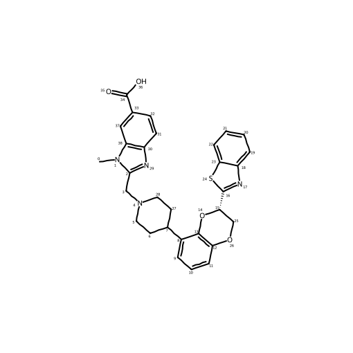 Cn1c(CN2CCC(c3cccc4c3O[C@H](c3nc5ccccc5s3)CO4)CC2)nc2ccc(C(=O)O)cc21